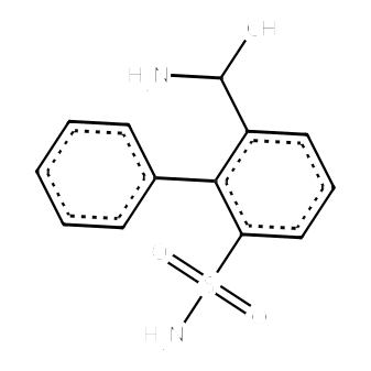 CC(N)c1cccc(S(N)(=O)=O)c1-c1ccccc1